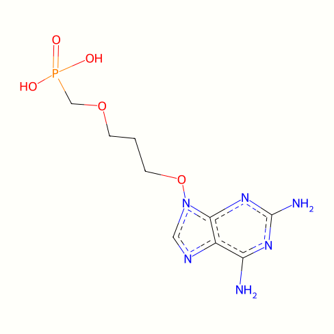 Nc1nc(N)c2ncn(OCCCOCP(=O)(O)O)c2n1